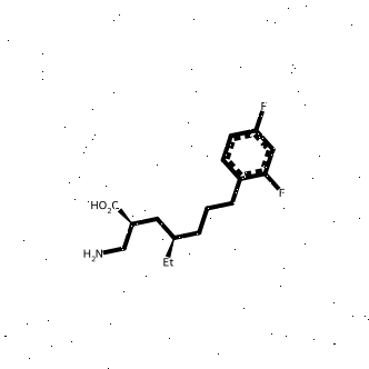 CC[C@H](CCCc1ccc(F)cc1F)C[C@@H](CN)C(=O)O